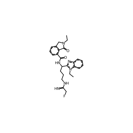 CCN1Cc2cccc(C(=O)NC(CCCNC(=N)CF)c3nc4ccccc4n3CC)c2C1=O